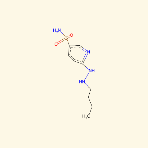 CCCCNNc1ccc(S(N)(=O)=O)cn1